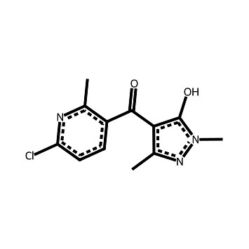 Cc1nc(Cl)ccc1C(=O)c1c(C)nn(C)c1O